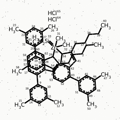 CCCCCC1=Cc2c(-c3cc(C)cc(C)c3)ccc(-c3cc(C)cc(C)c3)c2[CH]1[Zr]([CH3])([CH3])(=[SiH2])[CH]1C(CCCCC)=Cc2c(-c3cc(C)cc(C)c3)ccc(-c3cc(C)cc(C)c3)c21.Cl.Cl